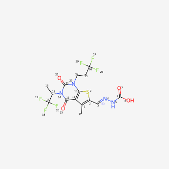 Cc1c(/C=N/NC(=O)O)sc2c1c(=O)n(C(C)C(F)(F)F)c(=O)n2CCC(F)(F)F